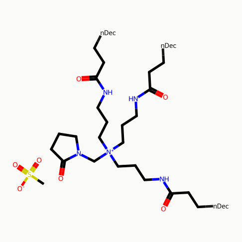 CCCCCCCCCCCCC(=O)NCCC[N+](CCCNC(=O)CCCCCCCCCCCC)(CCCNC(=O)CCCCCCCCCCCC)CN1CCCC1=O.CS(=O)(=O)[O-]